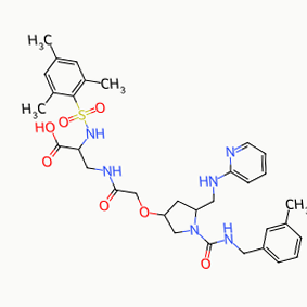 Cc1cccc(CNC(=O)N2CC(OCC(=O)NCC(NS(=O)(=O)c3c(C)cc(C)cc3C)C(=O)O)CC2CNc2ccccn2)c1